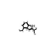 CCc1cccc2[nH]c(C(C)C)cc12